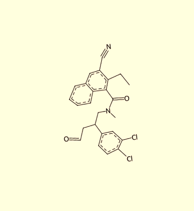 CCc1c(C#N)cc2ccccc2c1C(=O)N(C)CC(CC=O)c1ccc(Cl)c(Cl)c1